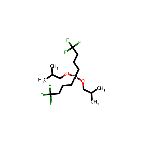 CC(C)C[O][Sn]([CH2]CCC(F)(F)F)([CH2]CCC(F)(F)F)[O]CC(C)C